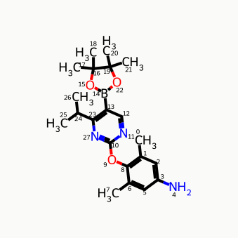 Cc1cc(N)cc(C)c1Oc1ncc(B2OC(C)(C)C(C)(C)O2)c(C(C)C)n1